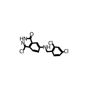 O=c1[nH]nc(Cl)c2ccc(NCc3ccc(Cl)cc3Cl)cc12